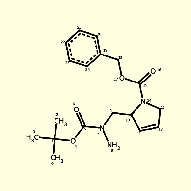 CC(C)(C)OC(=O)N(N)CC1C=CCN1C(=O)OCc1ccccc1